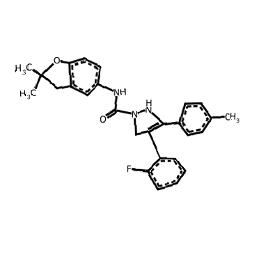 Cc1ccc(C2=C(c3ccccc3F)CN(C(=O)Nc3ccc4c(c3)CC(C)(C)O4)N2)cc1